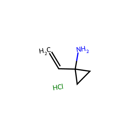 C=CC1(N)CC1.Cl